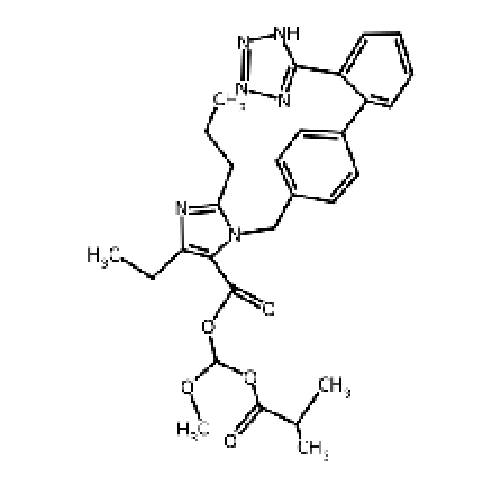 CCCc1nc(CC)c(C(=O)OC(OC)OC(=O)C(C)C)n1Cc1ccc(-c2ccccc2-c2nnn[nH]2)cc1